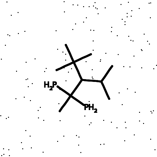 CC(C)C(C(C)(C)C)C(C)(P)P